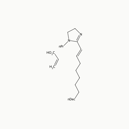 C=CC(=O)O.CCCCCCCCCCCCCCCC=CC1=NCCN1CCC